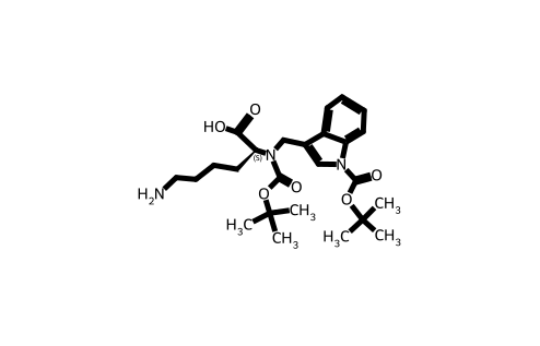 CC(C)(C)OC(=O)N(Cc1cn(C(=O)OC(C)(C)C)c2ccccc12)[C@@H](CCCCN)C(=O)O